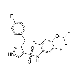 O=S(=O)(Nc1cc(F)c(OC(F)F)cc1F)c1c[nH]cc1Cc1ccc(F)cc1